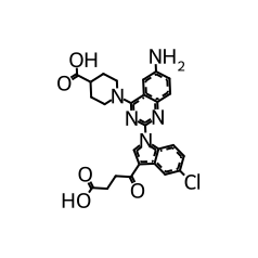 Nc1ccc2nc(-n3cc(C(=O)CCC(=O)O)c4cc(Cl)ccc43)nc(N3CCC(C(=O)O)CC3)c2c1